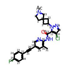 CC(=O)N1CCC2(CC(n3ncc(Cl)c3C(=O)Nc3ncc(C#Cc4ccc(F)cc4)cc3C)C2)C1